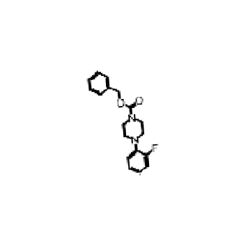 O=C(OCc1ccccc1)N1CCN(c2cc[c]cc2F)CC1